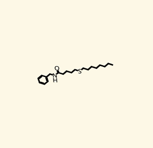 CCCCCCCCSCCCCC(=O)NCc1ccccc1